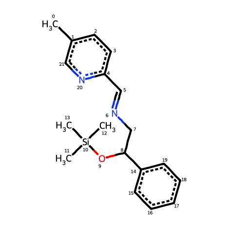 Cc1ccc(C=NCC(O[Si](C)(C)C)c2ccccc2)nc1